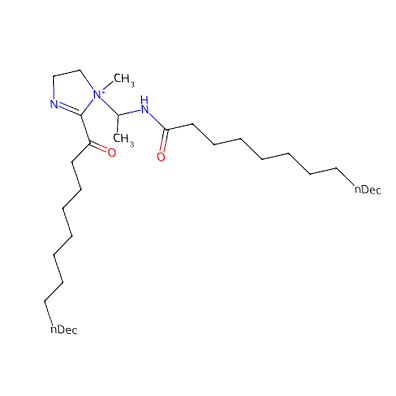 CCCCCCCCCCCCCCCCCC(=O)NC(C)[N+]1(C)CCN=C1C(=O)CCCCCCCCCCCCCCCCC